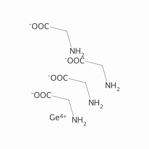 NCC(=O)[O-].NCC(=O)[O-].NCC(=O)[O-].NCC(=O)[O-].[Ge+4]